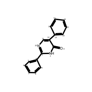 O=c1[nH]c(-c2ccccc2)ncc1-c1ccccc1